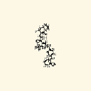 Cc1cc2nccn2c(C)c1CNC(=O)c1cn(Cc2ccc(Cn3ccccc3=O)cc2)nc1C(F)(F)F